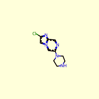 Clc1cn2cc(N3CCNCC3)ncc2n1